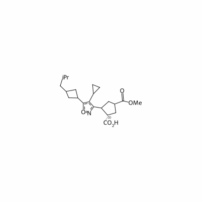 COC(=O)C1CC(c2noc(C3CC(CC(C)C)C3)c2C2CC2)[C@@H](C(=O)O)C1